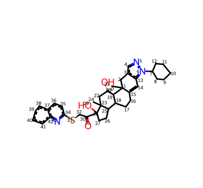 CC12Cc3cnn(C4CCCCC4)c3C=C1CCC1C2[C@@H](O)CC2(C)C1CCC2(O)C(=O)CSc1ccc2ccccc2n1